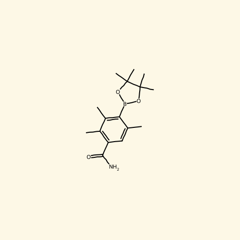 Cc1cc(C(N)=O)c(C)c(C)c1B1OC(C)(C)C(C)(C)O1